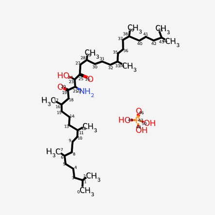 CC(C)CCCC(C)CCCC(C)CCCC(C)CC(=O)C(N)C(O)C(=O)CC(C)CCCC(C)CCCC(C)CCCC(C)C.O=P(O)(O)O